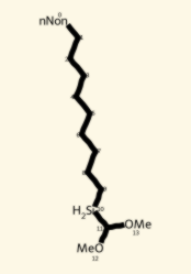 CCCCCCCCCCCCCCCCCC[SiH2]C(OC)OC